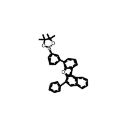 CC1(C)OB(c2cccc(-c3cccc4c3oc3c(-c5ccccc5)cc5ccccc5c34)c2)OC1(C)C